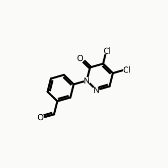 O=Cc1cccc(-n2ncc(Cl)c(Cl)c2=O)c1